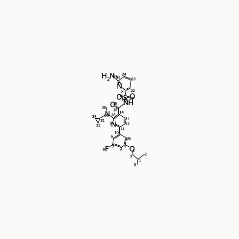 CC(C)COc1cc(F)cc(-c2ccc(C(=O)NS(=O)(=O)c3cccc(N)n3)c(N(C)C3CC3)n2)c1